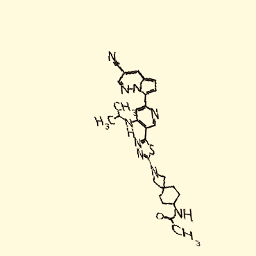 CC(=O)NC1CCC2(CC1)CN(c1nnc(-c3cnc(-c4ccc5cc(C#N)cnn45)cc3NC(C)C)s1)C2